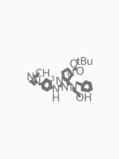 Cc1nccn1-c1ccc(Nc2nc3c(c(N(CCO)Cc4ccccc4)n2)CN(C(=O)OC(C)(C)C)CC3)cc1